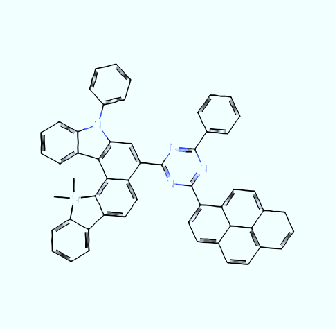 C[Si]1(C)c2ccccc2-c2ccc3c(-c4nc(C5=CC=C6C=CC7=C8C(=CC=C5C68)CC=C7)nc(-c5ccccc5)n4)cc4c(c5ccccc5n4-c4ccccc4)c3c21